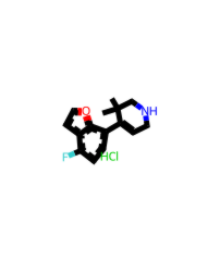 CC1(C)CNCC=C1c1ccc(F)c2ccoc12.Cl